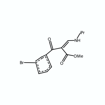 COC(=O)C(=CNC(C)C)C(=O)c1cccc(Br)c1